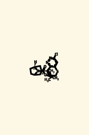 CC(C)(C)OC(=O)N1C2CC[C@H]1C[C@H](C1=CCSc3cc(Cl)nnc31)C2